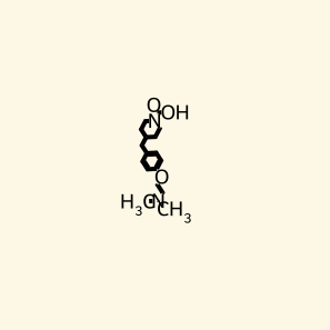 CN(C)CCOc1ccc(CC2CCN(C(=O)O)CC2)cc1